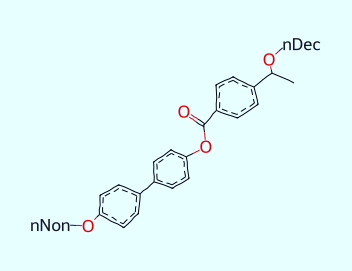 CCCCCCCCCCOC(C)c1ccc(C(=O)Oc2ccc(-c3ccc(OCCCCCCCCC)cc3)cc2)cc1